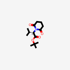 CC(C)[C@@H](C(=O)OC(C)(C)C)N1C(=O)CCCC1=O